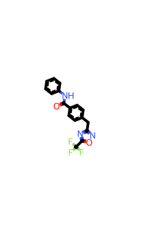 O=C(Nc1ccccc1)c1ccc(Cc2noc(C(F)(F)F)n2)cc1